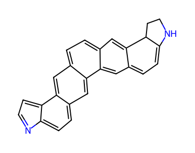 C1=Nc2ccc3cc4c(ccc5cc6c(cc54)=CC=C4NCCC46)cc3c2=C1